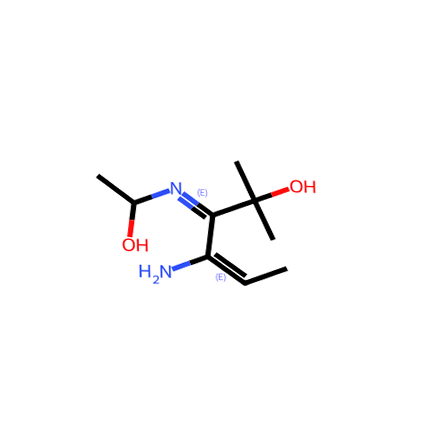 C/C=C(N)\C(=N/C(C)O)C(C)(C)O